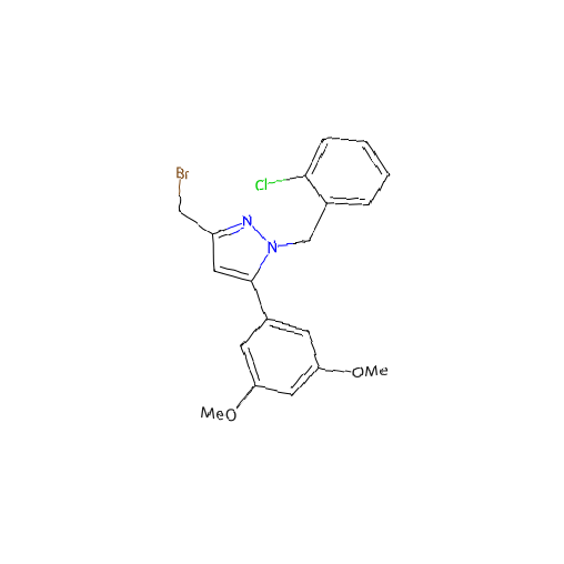 COc1cc(OC)cc(-c2cc(CBr)nn2Cc2ccccc2Cl)c1